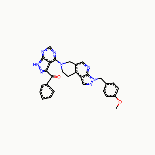 COc1ccc(Cn2ncc3c4c(cnc32)CN(c2ncnc3[nH]nc(C(=O)c5ccccc5)c23)CC4)cc1